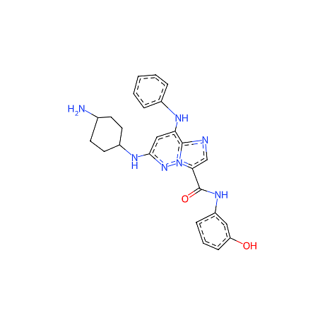 NC1CCC(Nc2cc(Nc3ccccc3)c3ncc(C(=O)Nc4cccc(O)c4)n3n2)CC1